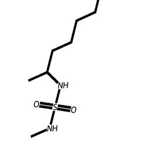 CCCCCC(C)NS(=O)(=O)NC